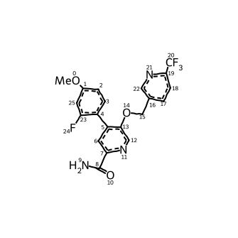 COc1ccc(-c2cc(C(N)=O)ncc2OCc2ccc(C(F)(F)F)nc2)c(F)c1